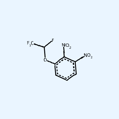 O=[N+]([O-])c1cccc(OC(F)C(F)(F)F)c1[N+](=O)[O-]